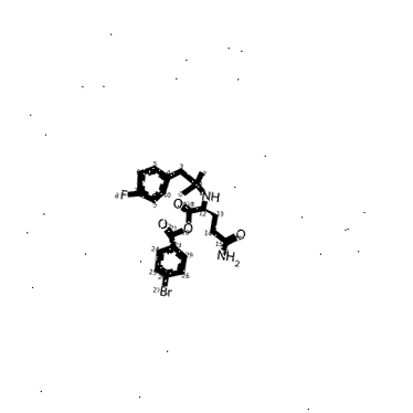 CC(C)(Cc1ccc(F)cc1)N[C@@H](CCC(N)=O)C(=O)OC(=O)c1ccc(Br)cc1